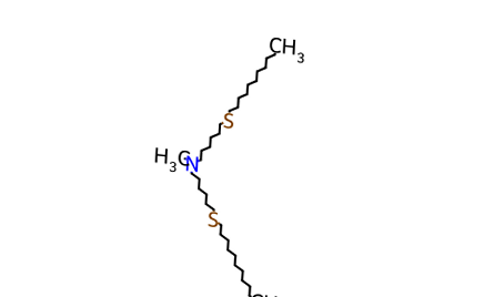 CCCCCCCCCCCSCCCCCCN(C)CCCCCCSCCCCCCCCCCC